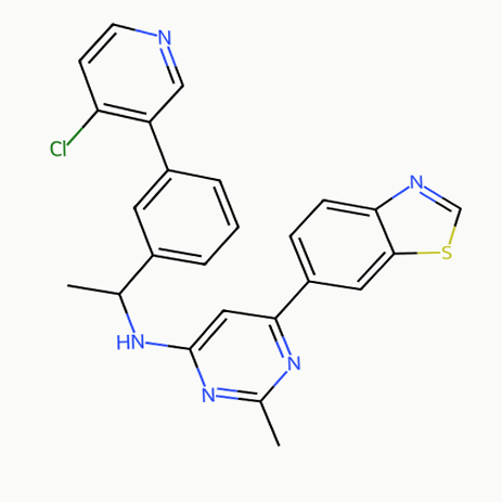 Cc1nc(NC(C)c2cccc(-c3cnccc3Cl)c2)cc(-c2ccc3ncsc3c2)n1